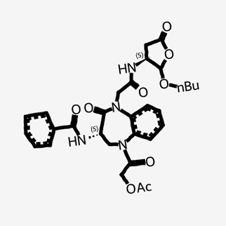 CCCCOC1OC(=O)C[C@@H]1NC(=O)CN1C(=O)[C@@H](NC(=O)c2ccccc2)CN(C(=O)COC(C)=O)c2ccccc21